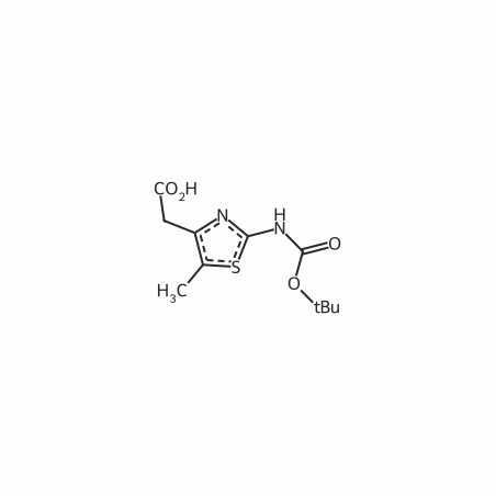 Cc1sc(NC(=O)OC(C)(C)C)nc1CC(=O)O